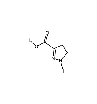 O=C(OI)C1=NN(I)CC1